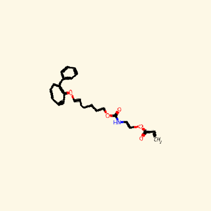 C=CC(=O)OCCNC(=O)OCCCCCCOC1=C(c2ccccc2)CC=CC=C1